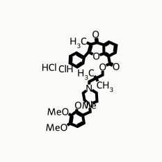 COc1ccc(CN2CCN(CC(C)(C)COC(=O)c3cccc4c(=O)c(C)c(-c5ccccc5)oc34)CC2)c(OC)c1OC.Cl.Cl